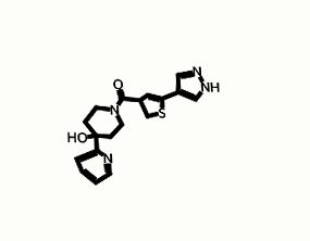 O=C(C1C=C(c2cn[nH]c2)SC1)N1CCC(O)(c2ccccn2)CC1